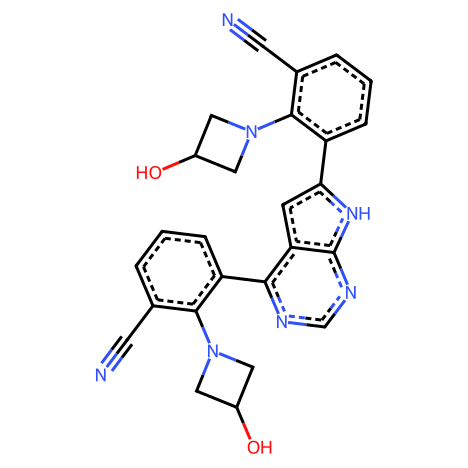 N#Cc1cccc(-c2cc3c(-c4cccc(C#N)c4N4CC(O)C4)ncnc3[nH]2)c1N1CC(O)C1